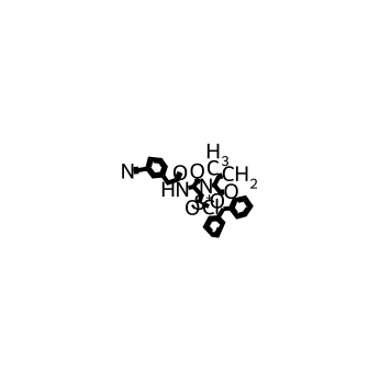 C=C(C)C(C(=O)OC(c1ccccc1)c1ccccc1)N1C(=O)C(NC(=O)Cc2cccc(C#N)c2)C1[S+]([O-])Cl